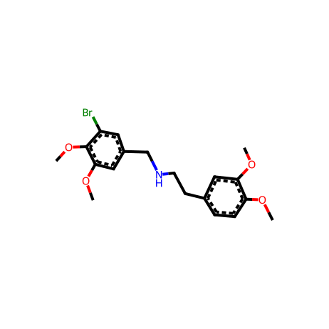 COc1ccc(CCNCc2cc(Br)c(OC)c(OC)c2)cc1OC